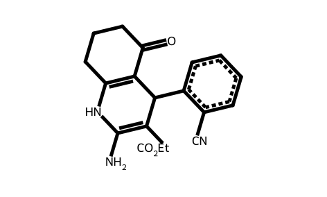 CCOC(=O)C1=C(N)NC2=C(C(=O)CCC2)C1c1ccccc1C#N